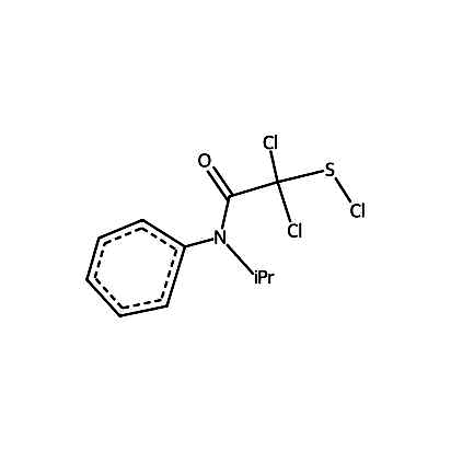 CC(C)N(C(=O)C(Cl)(Cl)SCl)c1ccccc1